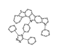 c1ccc(-c2nnc(-c3ccccc3)n2-c2ccc(-n3c4cc5c(ccn5-c5ccccc5)cc4c4ccc5sc6ccccc6c5c43)cc2)cc1